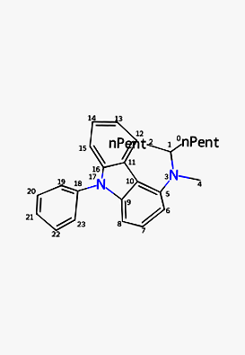 CCCCCC(CCCCC)N(C)c1cccc2c1c1ccccc1n2-c1ccccc1